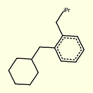 CC(C)Cc1ccccc1CC1CCCCC1